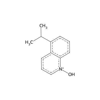 CC(C)c1cccc2c1ccc[n+]2O